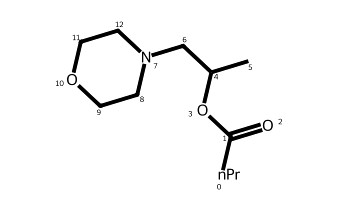 CCCC(=O)OC(C)CN1CCOCC1